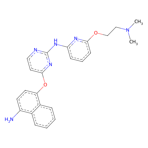 CN(C)CCOc1cccc(Nc2nccc(Oc3ccc(N)c4ccccc34)n2)n1